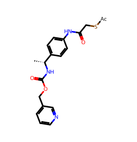 CC(=O)SCC(=O)Nc1ccc([C@@H](C)NC(=O)OCc2cccnc2)cc1